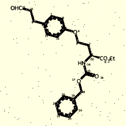 CCOC(=O)[C@H](CCOc1ccc(CCC=O)cc1)NC(=O)OCc1ccccc1